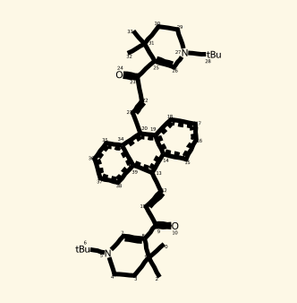 CC1(C)CCN(C(C)(C)C)C=C1C(=O)/C=C/c1c2ccccc2c(/C=C/C(=O)C2=CN(C(C)(C)C)CCC2(C)C)c2ccccc12